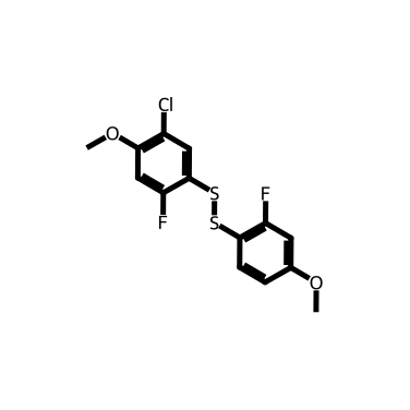 COc1ccc(SSc2cc(Cl)c(OC)cc2F)c(F)c1